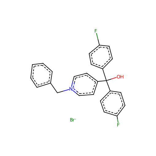 OC(c1ccc(F)cc1)(c1ccc(F)cc1)c1cc[n+](Cc2ccccc2)cc1.[Br-]